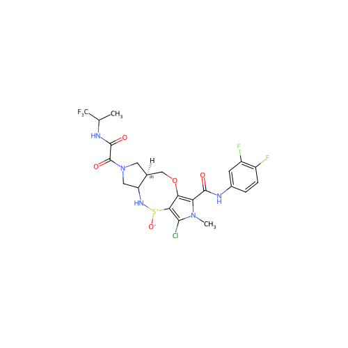 CC(NC(=O)C(=O)N1CC2N[S+]([O-])c3c(c(C(=O)Nc4ccc(F)c(F)c4)n(C)c3Cl)OC[C@@H]2C1)C(F)(F)F